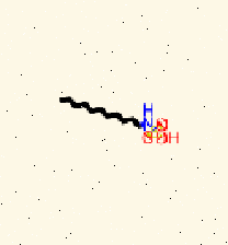 CCCCCCCCCCCNS(=O)(=O)O